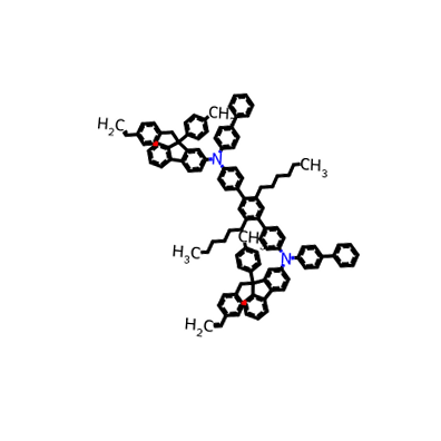 C=Cc1ccc(CC2(c3ccc(C)cc3)c3ccccc3-c3ccc(N(c4ccc(-c5ccccc5)cc4)c4ccc(-c5cc(CCCCCC)c(-c6ccc(N(c7ccc(-c8ccccc8)cc7)c7ccc8c(c7)C(Cc7ccc(C=C)cc7)(c7ccc(C)cc7)c7ccccc7-8)cc6)cc5CCCCCC)cc4)cc32)cc1